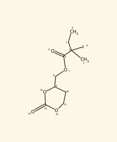 CCC(C)(I)C(=O)OCC1CCOC(=O)O1